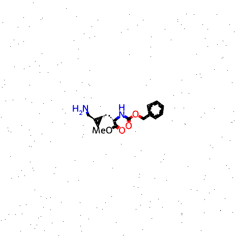 COC(=O)[C@H](C[C@@H]1C[C@H]1CN)NC(=O)OCc1ccccc1